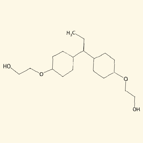 CCC(C1CCC(OCCO)CC1)C1CCC(OCCO)CC1